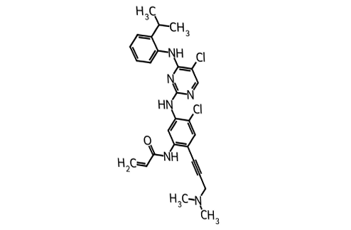 C=CC(=O)Nc1cc(Nc2ncc(Cl)c(Nc3ccccc3C(C)C)n2)c(Cl)cc1C#CCN(C)C